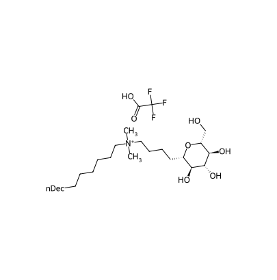 CCCCCCCCCCCCCCCC[N+](C)(C)CCCC[C@@H]1O[C@H](CO)[C@@H](O)[C@H](O)[C@H]1O.O=C(O)C(F)(F)F